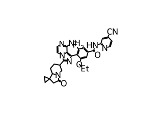 CCOc1cc(C(=O)Nc2cc(C#N)ccn2)cc(F)c1-c1nc(C2CCC3N(C2)C(=O)CC32CC2)n2ccnc(N)c12